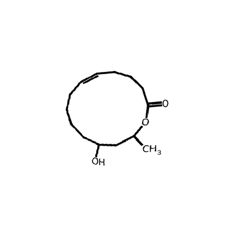 CC1CC(O)CCCCC=CCCCC(=O)O1